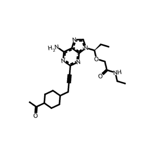 CCNC(=O)CO[C@H](CC)n1cnc2c(N)nc(C#CCC3CCC(C(C)=O)CC3)nc21